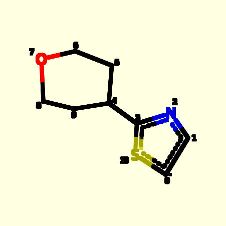 [c]1cnc(C2CCOCC2)s1